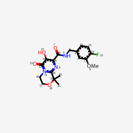 COc1cc(CNC(=O)c2nc3n(c(=O)c2O)CCOC3(C)C)ccc1F